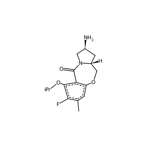 Cc1cc2c(c(OC(C)C)c1F)C(=O)N1C[C@@H](N)C[C@@H]1CO2